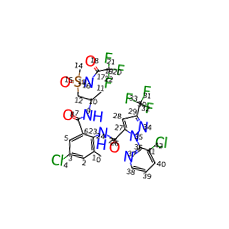 Cc1cc(Cl)cc(C(=O)NC(C)CS(C)(=O)=NC(=O)C(F)(F)F)c1NC(=O)c1cc(C(F)(F)F)nn1-c1ncccc1Cl